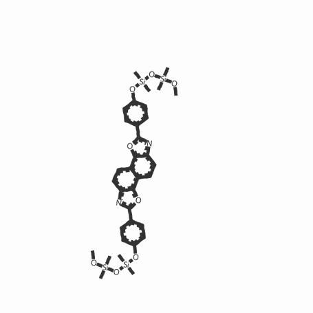 CO[Si](C)(C)O[Si](C)(C)Oc1ccc(-c2nc3ccc4c(ccc5nc(-c6ccc(O[Si](C)(C)O[Si](C)(C)OC)cc6)oc54)c3o2)cc1